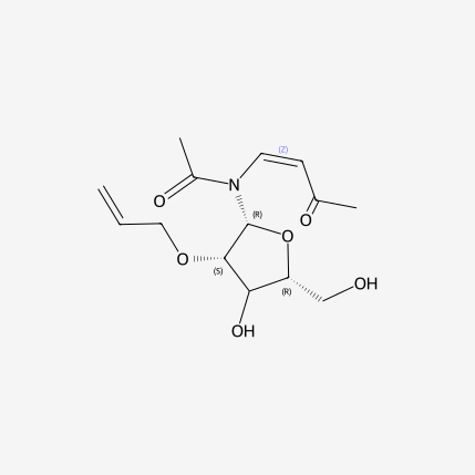 C=CCO[C@H]1C(O)[C@@H](CO)O[C@H]1N(/C=C\C(C)=O)C(C)=O